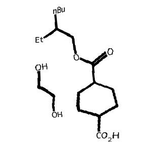 CCCCC(CC)COC(=O)C1CCC(C(=O)O)CC1.OCCO